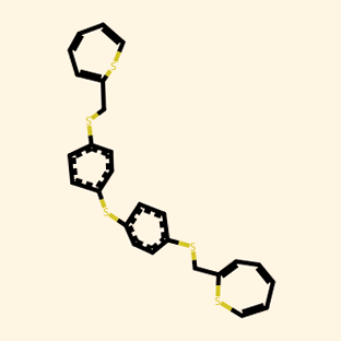 C1=CC=C(CSc2ccc(Sc3ccc(SCC4=CC=CC=CS4)cc3)cc2)SC=C1